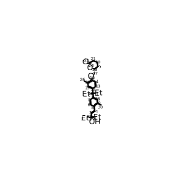 CCC(O)(/C=C/c1ccc(C(CC)(CC)c2ccc(OC[C@H]3CCCC(=O)O3)c(C)c2)cc1C)CC